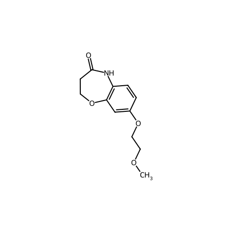 COCCOc1ccc2c(c1)OCCC(=O)N2